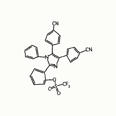 N#Cc1ccc(-c2nc(-c3ccccc3OS(=O)(=O)C(F)(F)F)n(-c3ccccc3)c2-c2ccc(C#N)cc2)cc1